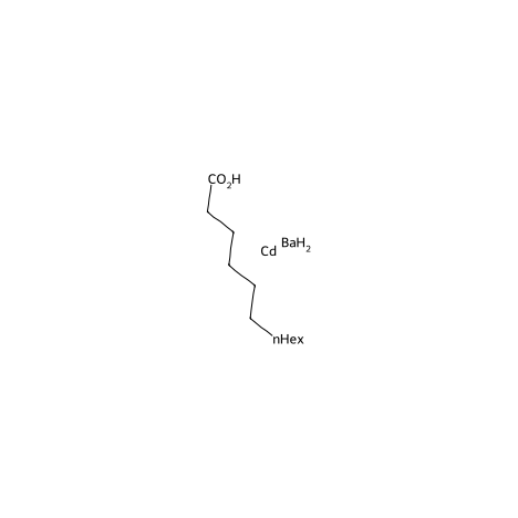 CCCCCCCCCCCC(=O)O.[BaH2].[Cd]